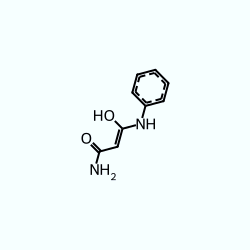 NC(=O)C=C(O)Nc1ccccc1